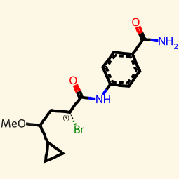 COC(C[C@@H](Br)C(=O)Nc1ccc(C(N)=O)cc1)C1CC1